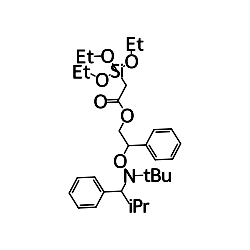 CCO[Si](CC(=O)OCC(ON(C(c1ccccc1)C(C)C)C(C)(C)C)c1ccccc1)(OCC)OCC